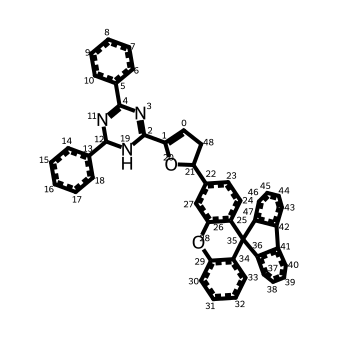 C1=C(C2=NC(c3ccccc3)=NC(c3ccccc3)N2)OC(c2ccc3c(c2)Oc2ccccc2C32c3ccccc3-c3ccccc32)C1